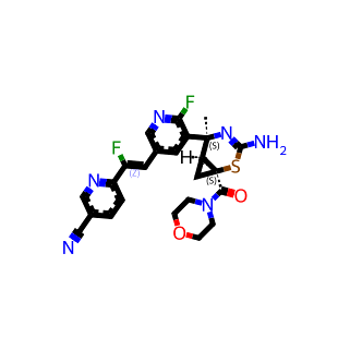 C[C@]1(c2cc(/C=C(\F)c3ccc(C#N)cn3)cnc2F)N=C(N)S[C@@]2(C(=O)N3CCOCC3)C[C@H]21